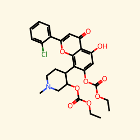 CCOC(=O)Oc1cc(O)c2c(=O)cc(-c3ccccc3Cl)oc2c1C1CCN(C)CC1OC(=O)OCC